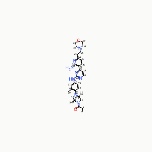 CCC(=O)N1C[C@@H]2C[C@H]1CN2c1ccc(Nc2nccc(-c3ccc(CCN4CCOCC4)nc3N)n2)cc1C